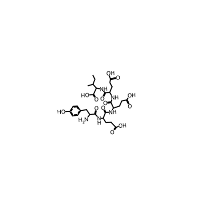 CCC(C)C(NC(=O)C(CCC(=O)O)NC(=O)C(CCC(=O)O)NC(=O)C(CCC(=O)O)NC(=O)C(N)Cc1ccc(O)cc1)C(=O)O